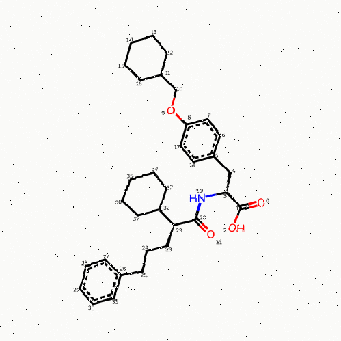 O=C(O)[C@H](Cc1ccc(OCC2CCCCC2)cc1)NC(=O)[C@@H](CCCc1ccccc1)C1CCCCC1